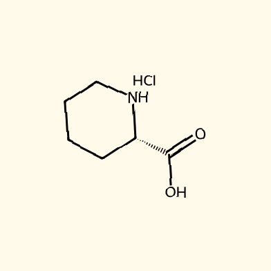 Cl.O=C(O)[C@@H]1CCCCN1